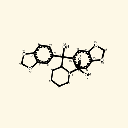 O=C(O)N1CCCCC1C(O)(c1ccc2c(c1)OCO2)c1ccc2c(c1)OCO2